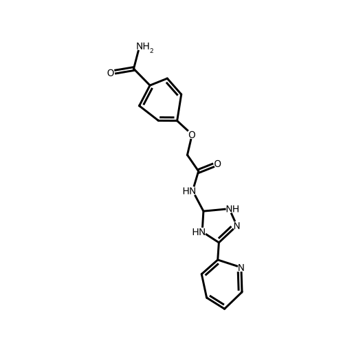 NC(=O)c1ccc(OCC(=O)NC2NN=C(c3ccccn3)N2)cc1